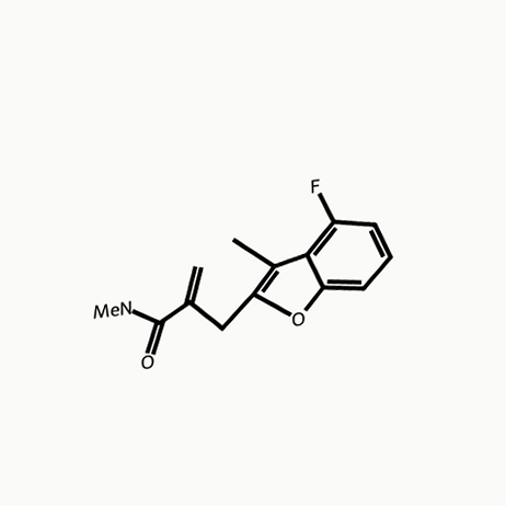 C=C(Cc1oc2cccc(F)c2c1C)C(=O)NC